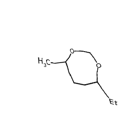 CCC1CC(C)OCO1